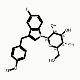 CCOc1ccc(Cc2cn([C@@H]3O[C@H](CO)[C@@H](O)[C@H](O)[C@H]3O)c3ccc(F)cc23)cc1